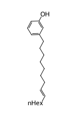 CCCCCC/C=C/CCCCCCCc1cccc(O)c1